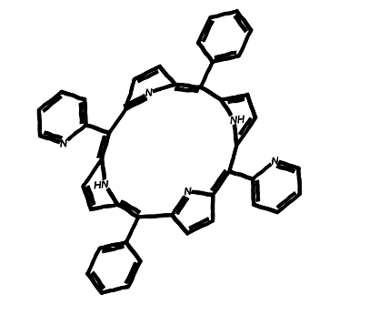 C1=Cc2nc1c(-c1ccccc1)c1ccc([nH]1)c(-c1ccccn1)c1nc(c(-c3ccccc3)c3ccc([nH]3)c2-c2ccccn2)C=C1